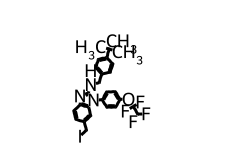 CC(C)(C)c1ccc(CNc2nc3ccc(CI)cc3n2-c2ccc(OC(F)(F)C(F)F)cc2)cc1